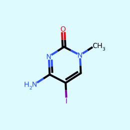 Cn1cc(I)c(N)nc1=O